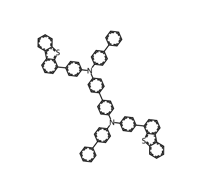 c1ccc(-c2ccc(N(c3ccc(-c4ccc(N(c5ccc(-c6ccccc6)cc5)c5ccc(-c6cccc7c6sc6ccccc67)cc5)cc4)cc3)c3ccc(-c4cccc5c4sc4ccccc45)cc3)cc2)cc1